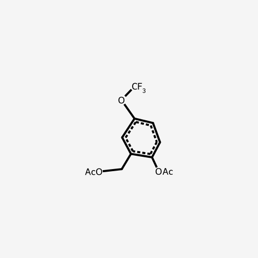 CC(=O)OCc1cc(OC(F)(F)F)ccc1OC(C)=O